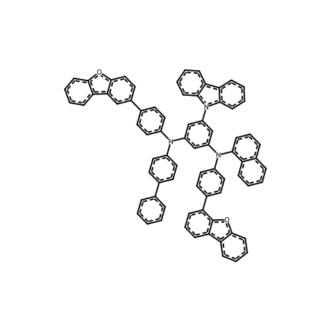 c1ccc(-c2ccc(N(c3ccc(-c4ccc5oc6ccccc6c5c4)cc3)c3cc(N(c4ccc(-c5cccc6c5oc5ccccc56)cc4)c4cccc5ccccc45)cc(-n4c5ccccc5c5ccccc54)c3)cc2)cc1